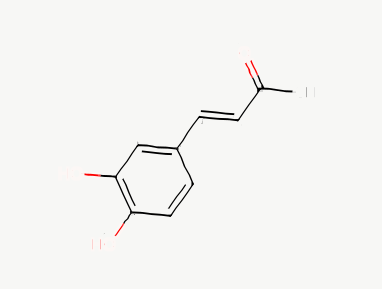 CC(=O)C=Cc1ccc(O)c(O)c1